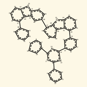 c1ccc(-c2nc(-c3ccccc3)nc(-c3cccc(-c4cccc5oc6c(-c7ccc8sc9cccc(-c%10ccccc%10)c9c8c7)cccc6c45)c3)n2)cc1